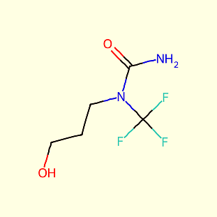 NC(=O)N(CCCO)C(F)(F)F